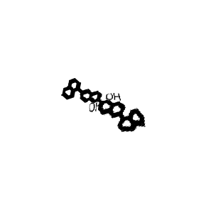 Oc1c(-c2ccc3cc(-c4cccc5ccccc45)ccc3c2O)ccc2cc(-c3cccc4ccccc34)ccc12